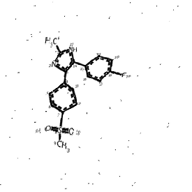 Cc1nc(-c2ccc(S(C)(=O)=O)cc2)c(-c2ccc(F)cc2)[nH]1